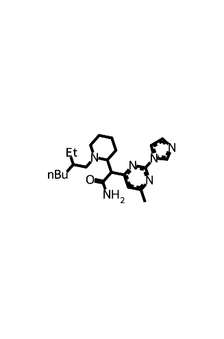 CCCCC(CC)CN1CCCCC1C(C(N)=O)c1cc(C)nc(-n2ccnc2)n1